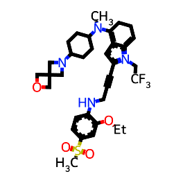 CCOc1cc(S(C)(=O)=O)ccc1NCC#Cc1cc2c(n1CC(F)(F)F)=CCCC=2N(C)C1CCC(N2CC3(COC3)C2)CC1